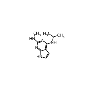 CNc1nc(NC(C)C)c2cc[nH]c2n1